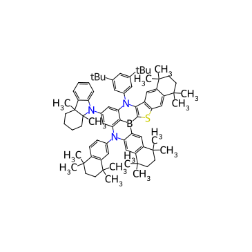 CC(C)(C)c1cc(N2c3cc(N4c5ccccc5C5(C)CCCCC45C)cc4c3B(c3cc5c(cc3N4c3ccc4c(c3)C(C)(C)CCC4(C)C)C(C)(C)CCC5(C)C)c3sc4cc5c(cc4c32)C(C)(C)CCC5(C)C)cc(C(C)(C)C)c1